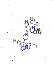 C=C/C(SN1CCC(C2\C(C)=C/C(C)=N/C=N\C2CC)CC1)=C(/c1scnc1C)N(C)CC